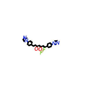 O=C(/C=C(/C=C/c1ccc(-n2ccnc2)cc1)OB(F)F)/C=C/c1ccc(-n2ccnc2)cc1